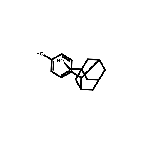 OCC12CC3CC(C1)C(c1ccc(O)cc1)C(C3)C2